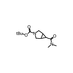 CN(C)C(=O)C1C2CN(C(=O)OC(C)(C)C)CC21